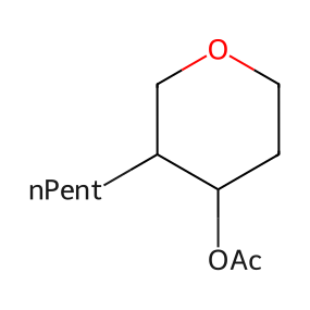 CCCCCC1COCCC1OC(C)=O